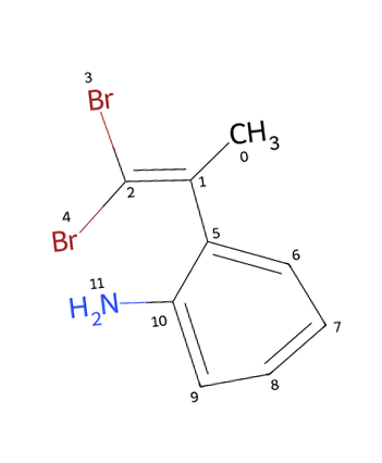 CC(=C(Br)Br)c1ccccc1N